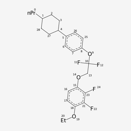 CCCC1CCC(c2ccc(OC(F)(F)COc3ccc(OCC)c(F)c3F)cc2)CC1